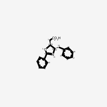 O=C(O)C[C@@H]1OC(c2ccccc2)=N[C@H]1Cc1ccccc1